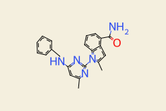 Cc1cc(NCc2ccccc2)nc(-n2c(C)cc3c(C(N)=O)cccc32)n1